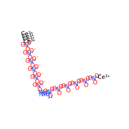 O=[N+]([O-])[O-].O=[N+]([O-])[O-].O=[N+]([O-])[O-].O=[N+]([O-])[O-].O=[N+]([O-])[O-].O=[N+]([O-])[O-].O=[N+]([O-])[O-].O=[N+]([O-])[O-].O=[N+]([O-])[O-].O=[N+]([O-])[O-].O=[N+]([O-])[O-].O=[N+]([O-])[O-].[Ce+3].[Ce+3].[Ce+3].[Ce+3].[Ce+3].[NH2-].[NH2-].[NH2-]